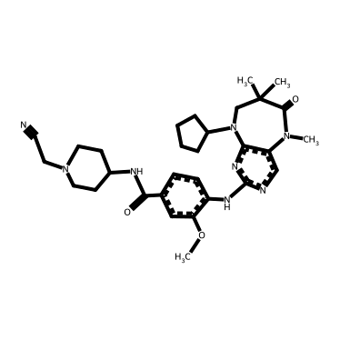 COc1cc(C(=O)NC2CCN(CC#N)CC2)ccc1Nc1ncc2c(n1)N(C1CCCC1)CC(C)(C)C(=O)N2C